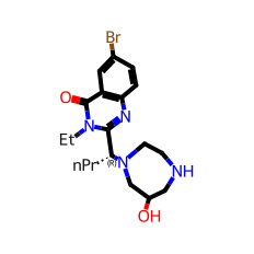 CCC[C@H](c1nc2ccc(Br)cc2c(=O)n1CC)N1CCNCC(O)C1